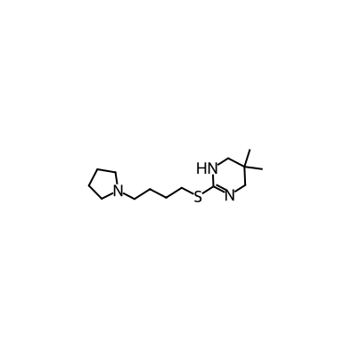 CC1(C)CN=C(SCCCCN2CCCC2)NC1